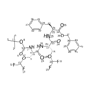 CC(C)(C)OC(=O)N[C@@H](COC(F)F)C(=O)N[C@@H](COC(F)F)C(=O)N[C@@H](Cc1ccccc1)C(=O)OCc1ccccc1